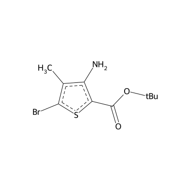 Cc1c(Br)sc(C(=O)OC(C)(C)C)c1N